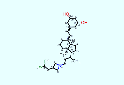 CC(CCN1CC(CC(F)F)C1)[C@H]1CC[C@H]2/C(=C/C=C3C[C@@H](O)C[C@H](O)C3)CCC[C@]12C